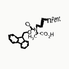 CCCCCC=CCN(C(=O)OCC1c2ccccc2-c2ccccc21)[C@@H](C)C(=O)O